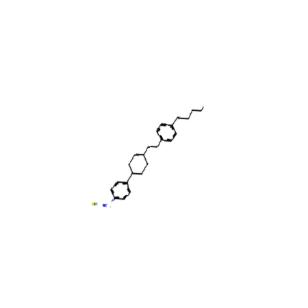 CCCCCc1ccc(CCC2CCC(c3ccc(N=C=S)cc3)CC2)cc1